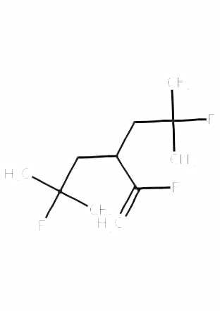 C=C(F)C(CC(C)(F)C(F)(F)F)CC(C)(F)C(F)(F)F